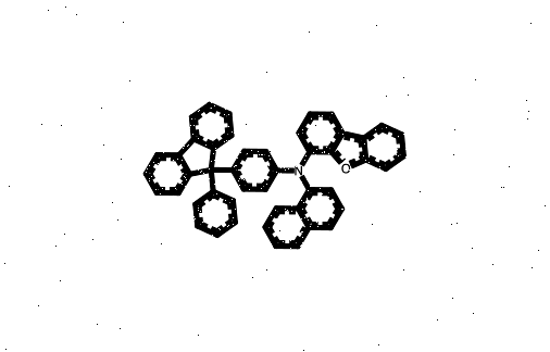 c1ccc(C2(c3ccc(N(c4cccc5ccccc45)c4cccc5c4oc4ccccc45)cc3)c3ccccc3-c3ccccc32)cc1